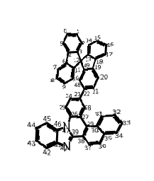 c1ccc2c(c1)-c1ccccc1C21c2ccccc2-c2ccc(-c3ccc4c(c3)c3c5ccccc5ccc3c3nc5ccccc5n43)cc21